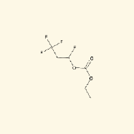 CCOC(=O)OC(F)CC(F)(F)F